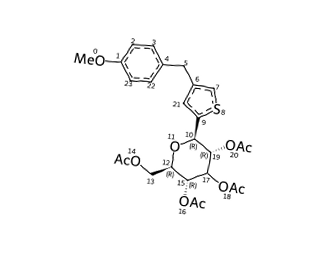 COc1ccc(Cc2csc([C@@H]3O[C@H](COC(C)=O)[C@@H](OC(C)=O)C(OC(C)=O)[C@H]3OC(C)=O)c2)cc1